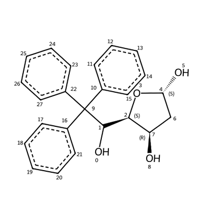 OC([C@H]1O[C@H](O)C[C@H]1O)C(c1ccccc1)(c1ccccc1)c1ccccc1